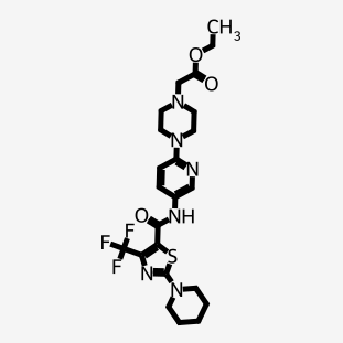 CCOC(=O)CN1CCN(c2ccc(NC(=O)c3sc(N4CCCCC4)nc3C(F)(F)F)cn2)CC1